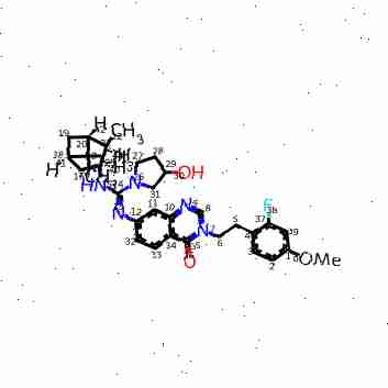 COc1ccc(CCn2cnc3cc(N=C(N[C@H]4C[C@H]5C[C@H]([C@H]4C)C5(C)C)N4CCC(O)C4)ccc3c2=O)c(F)c1